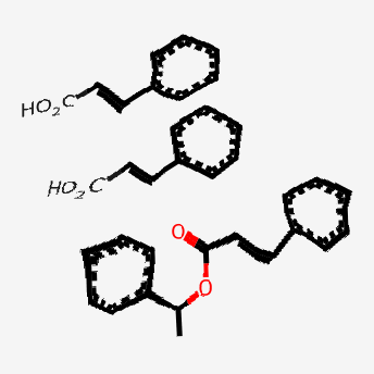 CC(OC(=O)C=Cc1ccccc1)c1ccccc1.O=C(O)C=Cc1ccccc1.O=C(O)C=Cc1ccccc1